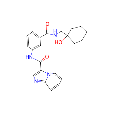 O=C(NCC1(O)CCCCC1)c1cccc(NC(=O)c2cnc3ccccn23)c1